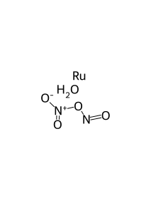 O.O=NO[N+](=O)[O-].[Ru]